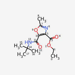 CCOC(=O)c1nc(C)oc1C(=O)NC(C)(C)C